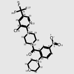 O=C(c1cc([N+](=O)[O-])ccc1N1CCOCC1)N1CCN(c2ncc(C(F)(F)F)cc2Cl)CC1